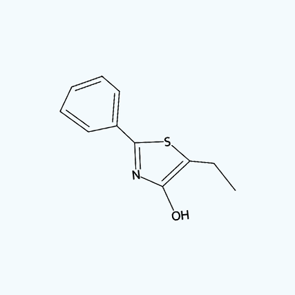 CCc1sc(-c2ccccc2)nc1O